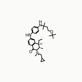 CC[C@@]1(C)c2cc(Nc3ccc(NC(C)(C)CCOC(C)(C)C)cc3)ccc2C(=O)C(N(C)CC2CC2)[C@@H]1C